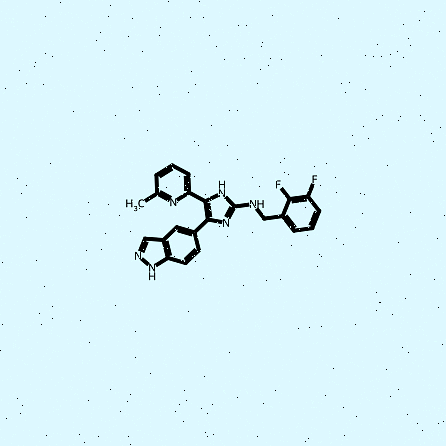 Cc1cccc(-c2[nH]c(NCc3cccc(F)c3F)nc2-c2ccc3[nH]ncc3c2)n1